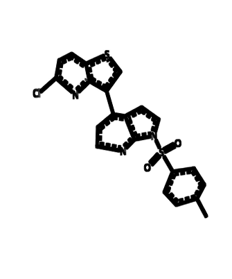 Cc1ccc(S(=O)(=O)n2ccc3c(-c4csc5ccc(Cl)nc45)ccnc32)cc1